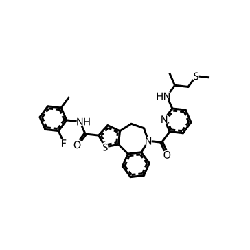 CSCC(C)Nc1cccc(C(=O)N2CCc3cc(C(=O)Nc4c(C)cccc4F)sc3-c3ccccc32)n1